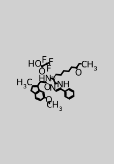 CCC(=O)CCCCC[C@H](NC(=O)CC1=C(C)Cc2ccc(OC)cc21)c1ncc(-c2ccccc2)[nH]1.O=C(O)C(F)(F)F